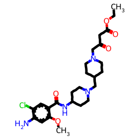 CCOC(=O)CC(=O)CN1CCC(CN2CCC(NC(=O)c3cc(Cl)c(N)cc3OC)CC2)CC1